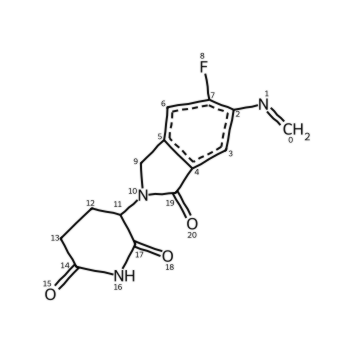 C=Nc1cc2c(cc1F)CN(C1CCC(=O)NC1=O)C2=O